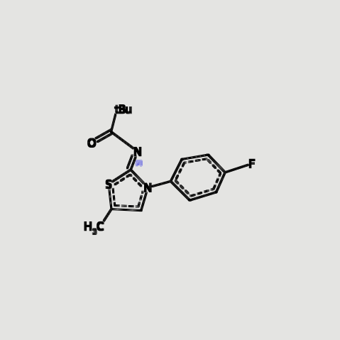 Cc1cn(-c2ccc(F)cc2)/c(=N/C(=O)C(C)(C)C)s1